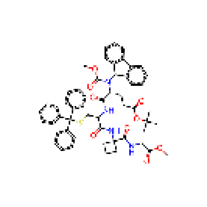 COC(=O)CNC(=O)C1(NC(=O)[C@@H](CSC(c2ccccc2)(c2ccccc2)c2ccccc2)NC(=O)[C@@H](CCC(=O)OC(C)(C)C)N(C(=O)OC)C2c3ccccc3-c3ccccc32)CCC1